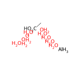 CC(=O)O.O.O.O.O.O.O.O.O.O.[AlH3]